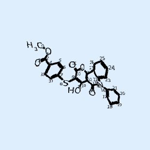 COC(=O)c1ccc(Sc2c(O)c3c(=O)n(-c4ccccc4)c4ccccc4c3oc2=O)cc1